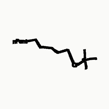 CCCCCCCCCCO[Si](C)(C)C